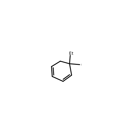 [CH]C1(CC)C=CC=CC1